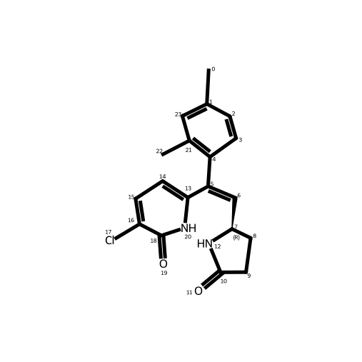 Cc1ccc(C(=C[C@H]2CCC(=O)N2)c2ccc(Cl)c(=O)[nH]2)c(C)c1